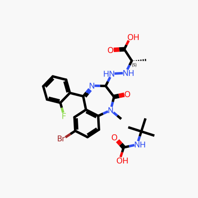 CC(C)(C)NC(=O)O.C[C@H](NNC1N=C(c2ccccc2F)c2cc(Br)ccc2N(C)C1=O)C(=O)O